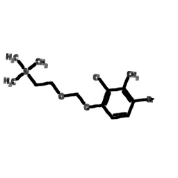 Cc1c(Br)ccc(OCOCC[Si](C)(C)C)c1Cl